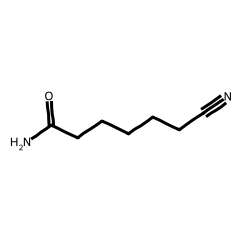 N#CCCCCCC(N)=O